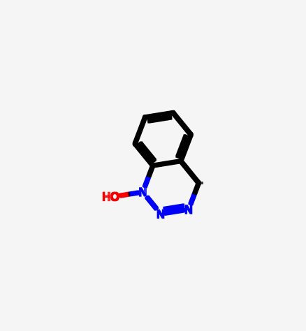 ON1N=N[CH]c2ccccc21